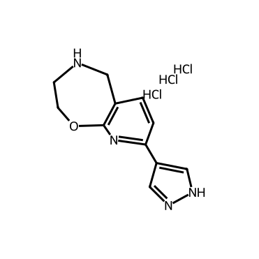 Cl.Cl.Cl.c1n[nH]cc1-c1ccc2c(n1)OCCNC2